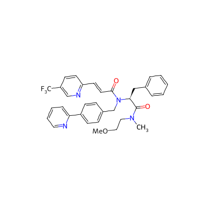 COCCN(C)C(=O)[C@H](Cc1ccccc1)N(Cc1ccc(-c2ccccn2)cc1)C(=O)/C=C/c1ccc(C(F)(F)F)cn1